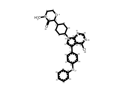 CN1CCOC(C2CCC(n3cc(-c4ccc(Oc5ccccc5)cc4)c4c(Cl)ncnc43)CC2)C1=O